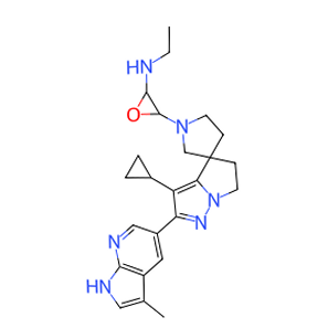 CCNC1OC1N1CCC2(CCn3nc(-c4cnc5[nH]cc(C)c5c4)c(C4CC4)c32)C1